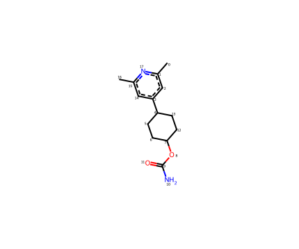 Cc1cc(C2CCC(OC(N)=O)CC2)cc(C)n1